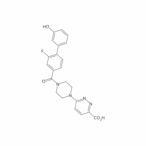 O=C(O)c1ccc(N2CCN(C(=O)c3ccc(-c4cccc(O)c4)c(F)c3)CC2)nn1